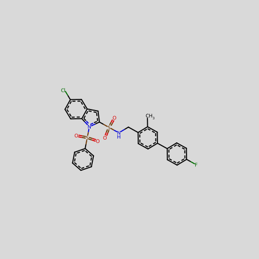 Cc1cc(-c2ccc(F)cc2)ccc1CNS(=O)(=O)c1cc2cc(Cl)ccc2n1S(=O)(=O)c1ccccc1